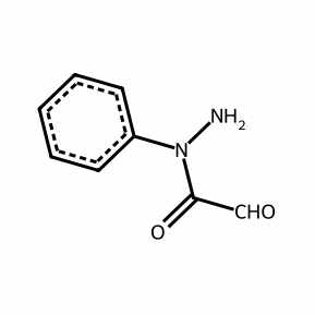 NN(C(=O)C=O)c1ccccc1